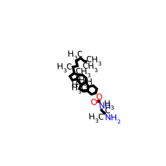 CC(C)[C@H](C)CC[C@@H](C)C1CC[C@H]2[C@@H]3CC=C4C[C@@H](OC(=O)NCC(C)(C)N)CC[C@]4(C)[C@H]3CC[C@]12C